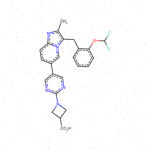 Cc1nc2ccc(-c3cnc(N4CC(C(=O)O)C4)nc3)cn2c1Cc1ccccc1OC(F)F